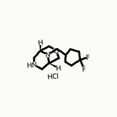 Cl.FC1(F)CCC(CN2[C@@H]3CNC[C@H]2COC3)CC1